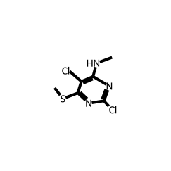 CNc1nc(Cl)nc(SC)c1Cl